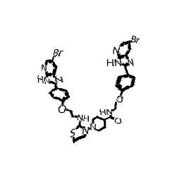 O=C(NCCOc1ccc(-c2nc3cc(Br)cnc3[nH]2)cc1)C1CCN(N2C=CSC2NCCOc2ccc(-c3nc4cc(Br)cnc4[nH]3)cc2)CC1